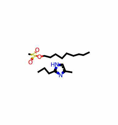 CCCCCCCCCOS(C)(=O)=O.CCCc1nc(C)c[nH]1